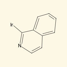 [Ir][c]1nccc2ccccc12